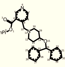 CCCOC(=O)c1cnccc1CN1CCC(OC(c2ccccc2)c2ccccc2)CC1